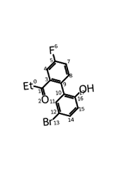 CCC(=O)c1cc(F)ccc1-c1cc(Br)ccc1O